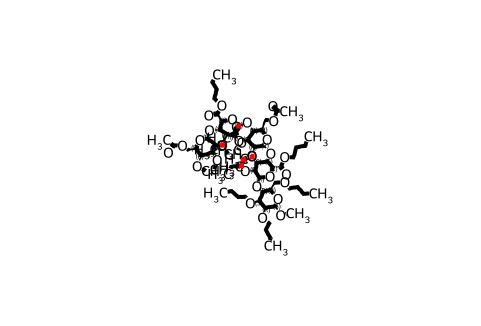 CCCCOC[C@H]1O[C@H](OC)[C@H](OCCCC)[C@@H](OCCCC)[C@@H]1O[C@@H]1O[C@@H](C(=O)OCCCC)[C@@H](O[C@H]2O[C@H](COC(C)=O)[C@@H](O[C@@H]3O[C@H](C(=O)OCCCC)[C@@H](O[C@H]4O[C@H](COC(C)=O)[C@@H](OC)[C@H](OC)[C@H]4OC)[C@H](OC)[C@H]3OC)[C@H](OC(C)=O)[C@H]2OCCCC)[C@H](OC)[C@H]1OC